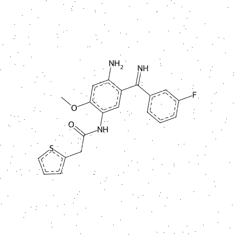 COc1cc(N)c(C(=N)c2cccc(F)c2)cc1NC(=O)Cc1cccs1